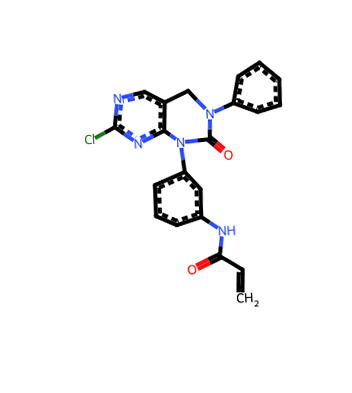 C=CC(=O)Nc1cccc(N2C(=O)N(c3ccccc3)Cc3cnc(Cl)nc32)c1